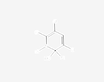 CCN1C(Cl)=C(Cl)C=C(Cl)C1(O)CC